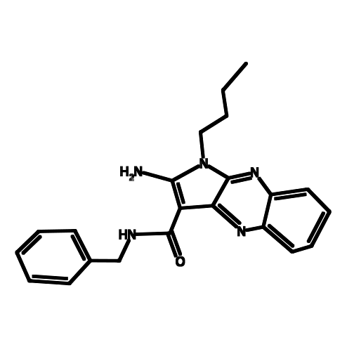 CCCCn1c(N)c(C(=O)NCc2ccccc2)c2nc3ccccc3nc21